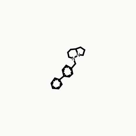 c1ccc(-c2ccc(CN3CCCC4CCCN43)cc2)cc1